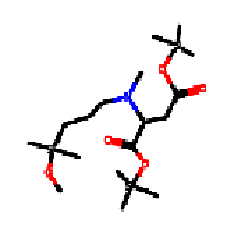 CO[Si](C)(C)CCCN(C)C(CC(=O)O[Si](C)(C)C)C(=O)O[Si](C)(C)C